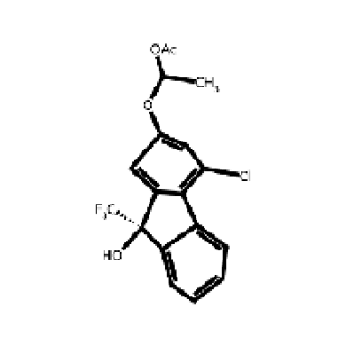 CC(=O)OC(C)Oc1cc(Cl)c2c(c1)[C@@](O)(C(F)(F)F)c1ccccc1-2